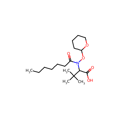 CCCCCCC(=O)N(OC1CCCCO1)C(C(=O)O)C(C)(C)C